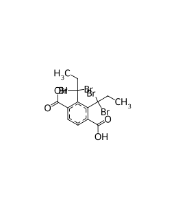 CCC(Br)(Br)c1c(C(=O)O)ccc(C(=O)O)c1C(Br)(Br)CC